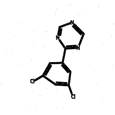 Clc1cc(Cl)cc(-c2ncncn2)c1